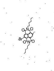 CCCCCCN1C(=O)c2cc(Br)c3c4c(cc(C)c(c24)C1=O)C(=O)N(CCCCCC)C3=O